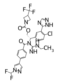 CCNC(=N)N(C(=O)c1ccc(-c2cnn(C(F)F)c2)cc1)[C@H](COC(=O)N1CC(C(F)(F)F)C1)c1ccc(Cl)c(-c2ncn[nH]2)c1